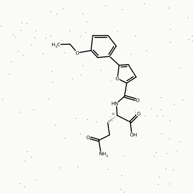 CCOc1cccc(-c2ccc(C(=O)N[C@@H](CCC(N)=O)C(=O)O)o2)c1